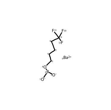 [Ba+2].[O-]B([O-])OCCCCC(F)(F)F